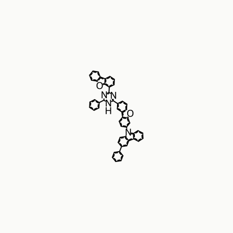 c1ccc(-c2ccc3c(c2)c2ccccc2n3-c2ccc3c(c2)oc2ccc(C4=NC(c5cccc6c5oc5ccccc56)=NC(c5ccccc5)N4)cc23)cc1